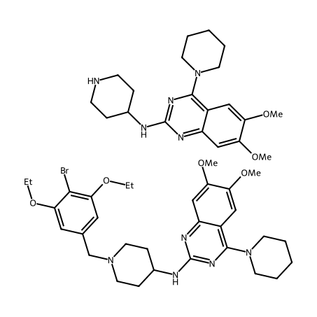 CCOc1cc(CN2CCC(Nc3nc(N4CCCCC4)c4cc(OC)c(OC)cc4n3)CC2)cc(OCC)c1Br.COc1cc2nc(NC3CCNCC3)nc(N3CCCCC3)c2cc1OC